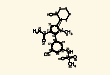 Cn1c(N2CCCCC2=O)cc(C(N)=O)c1-c1cc(Cl)cc(NS(C)(=O)=O)c1